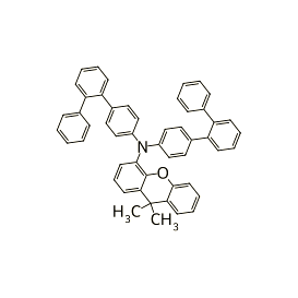 CC1(C)c2ccccc2Oc2c(N(c3ccc(-c4ccccc4-c4ccccc4)cc3)c3ccc(-c4ccccc4-c4ccccc4)cc3)cccc21